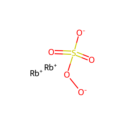 O=S(=O)([O-])O[O-].[Rb+].[Rb+]